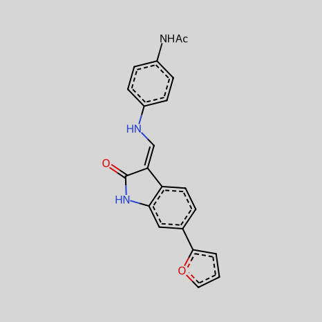 CC(=O)Nc1ccc(N/C=C2\C(=O)Nc3cc(-c4ccco4)ccc32)cc1